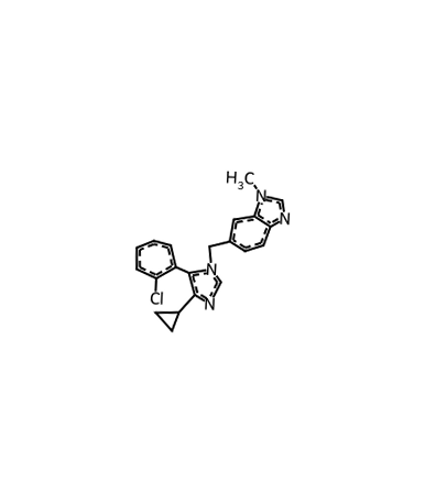 Cn1cnc2ccc(Cn3cnc(C4CC4)c3-c3ccccc3Cl)cc21